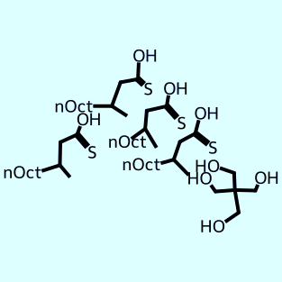 CCCCCCCCC(C)CC(O)=S.CCCCCCCCC(C)CC(O)=S.CCCCCCCCC(C)CC(O)=S.CCCCCCCCC(C)CC(O)=S.OCC(CO)(CO)CO